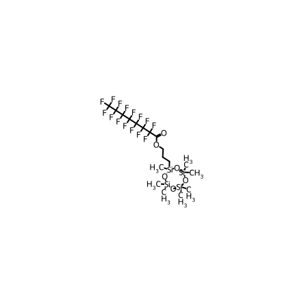 C[Si]1(C)O[Si](C)(C)O[Si](C)(CCCOC(=O)C(F)(F)C(F)(F)C(F)(F)C(F)(F)C(F)(F)C(F)(F)C(F)(F)F)O[Si](C)(C)O1